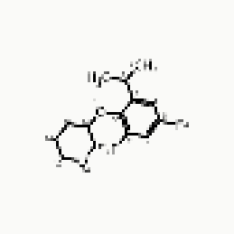 CC(C)c1cc(F)cc(F)c1OC1CCCOC1